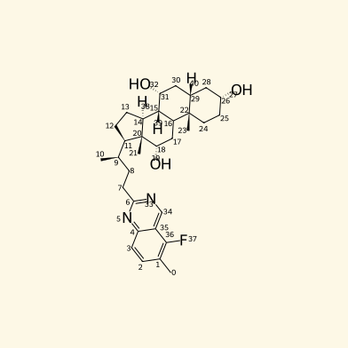 Cc1ccc2nc(CC[C@@H](C)[C@H]3CC[C@H]4[C@H]5C(C[C@H](O)[C@]34C)[C@@]3(C)CC[C@@H](O)C[C@H]3C[C@H]5O)ncc2c1F